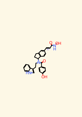 O=C(/C=C/c1ccc2c(c1)CCC2N(CCc1c[nH]c2ccccc12)C(=O)c1ccc(O)cc1)NO